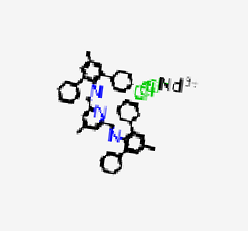 Cc1cc(C=Nc2c(C3CCCCC3)cc(C)cc2C2CCCCC2)nc(C=Nc2c(C3CCCCC3)cc(C)cc2C2CCCCC2)c1.[Cl-].[Cl-].[Cl-].[Nd+3]